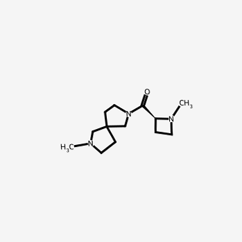 CN1CCC2(CCN(C(=O)[C@@H]3CCN3C)C2)C1